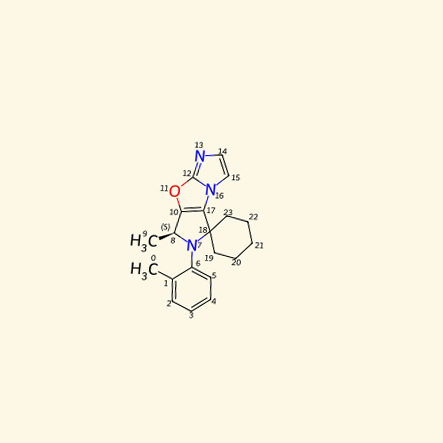 Cc1ccccc1N1[C@@H](C)c2oc3nccn3c2C12CCCCC2